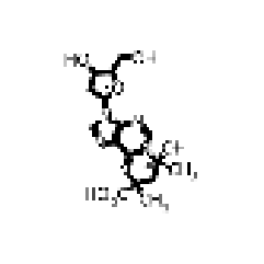 C[C@@]1(C(=O)O)C[C@@](C)(O)N2C=Nc3c(ncn3C3CC(O)C(CO)O3)C2=N1